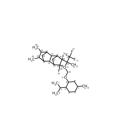 CC1CCC(C(C)C)C(OCOC(C)(C(F)(F)F)C2(F)C3CC(C4C5CC(C(C)C5C)C43)C2(F)F)C1